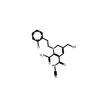 N#CNC(=O)C1=C(C(N)=O)N(CCc2ccccc2Cl)CC(CO)=C1